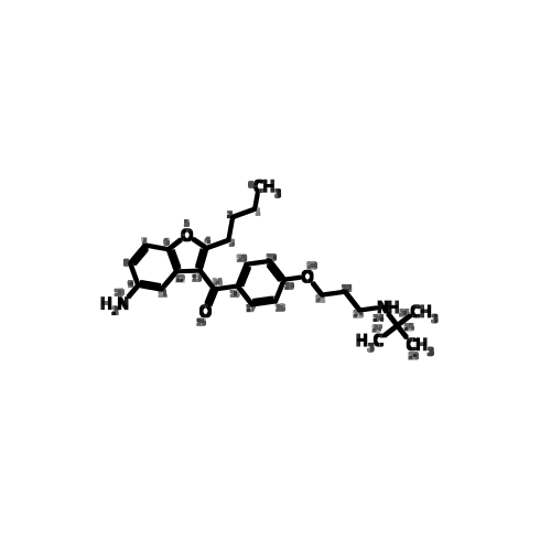 CCCCc1oc2ccc(N)cc2c1C(=O)c1ccc(OCCCNC(C)(C)C)cc1